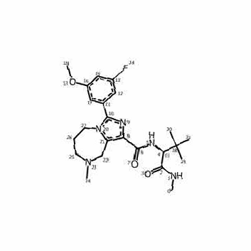 CNC(=O)[C@@H](NC(=O)c1nc(-c2cc(F)cc(OC)c2)n2c1CN(C)CCC2)C(C)(C)C